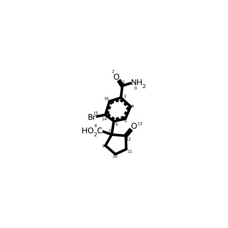 NC(=O)c1ccc(C2(C(=O)O)CCCC2=O)c(Br)c1